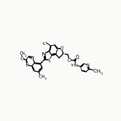 COc1cnc2c(-c3nc4c(Cl)cc5c(c4s3)C[C@H](COC(=O)Nc3ccc(C)nc3)O5)cc(C)cc2n1